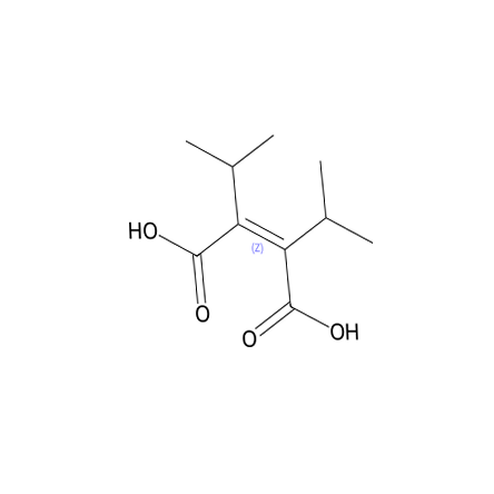 CC(C)/C(C(=O)O)=C(/C(=O)O)C(C)C